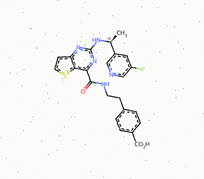 C[C@H](Nc1nc(C(=O)NCCc2ccc(C(=O)O)cc2)c2sccc2n1)c1cncc(F)c1